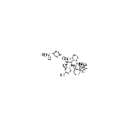 CS(=O)(=O)N[C@H]1CCCC[C@@H]1N1C(=O)c2ccccc2[C@H](C(=O)NOCc2ccc(CC(=O)O)cc2)[C@H]1C1CC=C(Cl)C=C1Cl